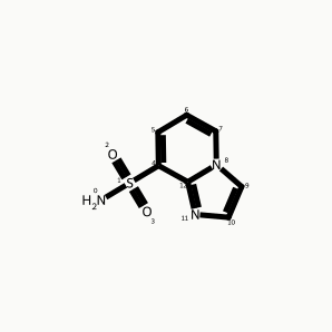 NS(=O)(=O)c1cccn2ccnc12